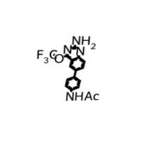 CC(=O)Nc1ccc(-c2ccc3nc(N)nc(OC(F)(F)F)c3c2)cc1